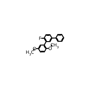 COc1ccc(OC)c(-c2cc(-c3ccccc3)ccc2F)c1